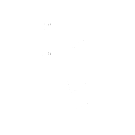 Cc1cc(C(C)(C)C)sc1-c1ccccc1CN(C)CCO